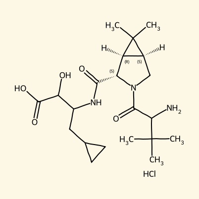 CC(C)(C)C(N)C(=O)N1C[C@H]2[C@@H]([C@H]1C(=O)NC(CC1CC1)C(O)C(=O)O)C2(C)C.Cl